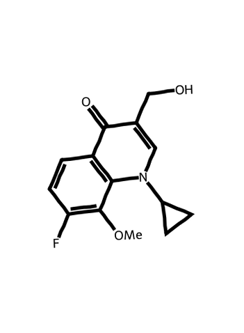 COc1c(F)ccc2c(=O)c(CO)cn(C3CC3)c12